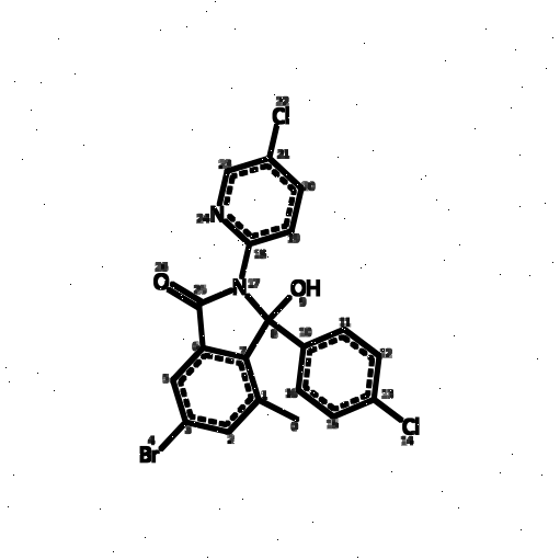 Cc1cc(Br)cc2c1C(O)(c1ccc(Cl)cc1)N(c1ccc(Cl)cn1)C2=O